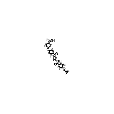 O=C(NCCNC(=O)c1ccc(O[C@H]2CC[C@@H](C(=O)O)CC2)cc1F)c1ccc(OCC2CC2)c(Cl)c1